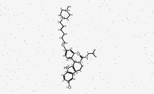 CC(C)COC(=O)N1CCc2c([nH]c3ccc(Cl)cc23)C1c1ccc(OCCCCCCN2CCN(C)CC2)cc1